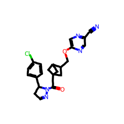 N#Cc1cnc(OCC2CC3(C(=O)N4N=CCC4c4ccc(Cl)cc4)CC2C3)cn1